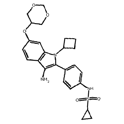 Nc1c(-c2ccc(NS(=O)(=O)C3CC3)cc2)n(C2CCC2)c2cc(OC3COCOC3)ccc12